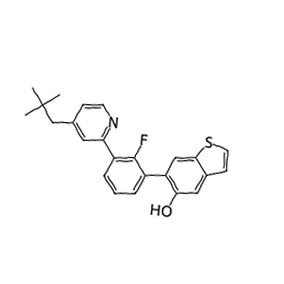 CC(C)(C)Cc1ccnc(-c2cccc(-c3cc4sccc4cc3O)c2F)c1